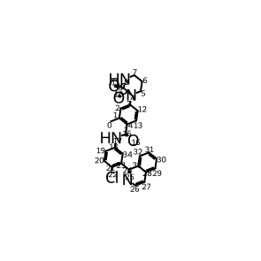 Cc1cc(N2CCCNS2(=O)=O)ccc1C(=O)Nc1ccc(Cl)c(-c2nccc3ccccc23)c1